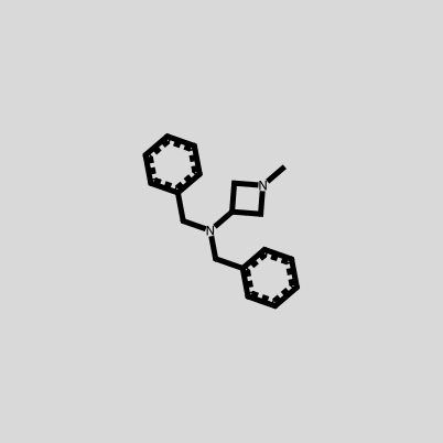 CN1CC(N(Cc2ccccc2)Cc2ccccc2)C1